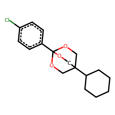 Clc1ccc(C23OCC(C4CCCCC4)(CO2)CO3)cc1